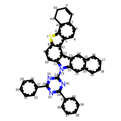 C1=Cc2ccc3c(sc4ccc5c(c6cc7ccccc7cc6n5-c5nc(-c6ccccc6)nc(-c6ccccc6)n5)c43)c2CC1